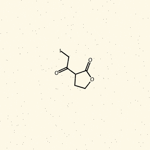 O=C(CI)C1CCOC1=O